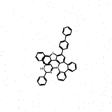 C1=C(c2ccccc2)NC(c2ccccc2)N=C1N1c2ccccc2-c2ccccc2-c2cc(-c3ccc(-c4ccccc4)cc3)c3sc4ccccc4c3c21